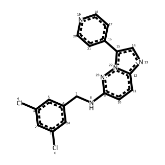 Clc1cc(Cl)cc(CNc2ccc3ncc(-c4ccncc4)n3n2)c1